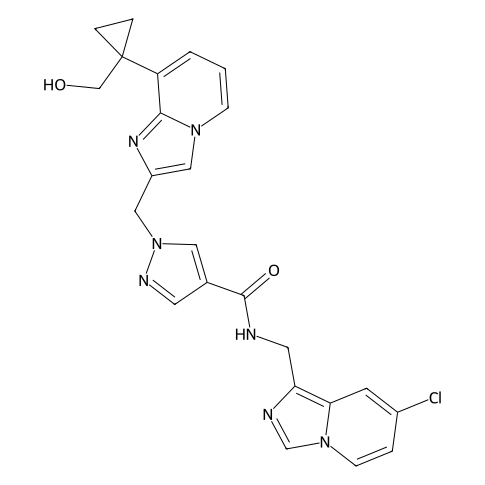 O=C(NCc1ncn2ccc(Cl)cc12)c1cnn(Cc2cn3cccc(C4(CO)CC4)c3n2)c1